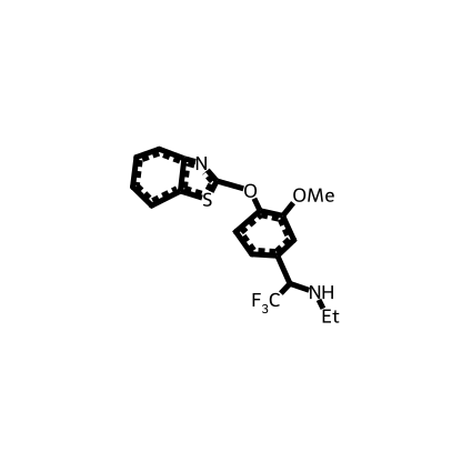 CCNC(c1ccc(Oc2nc3ccccc3s2)c(OC)c1)C(F)(F)F